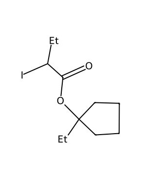 CCC(I)C(=O)OC1(CC)CCCC1